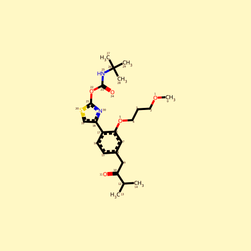 COCCCOc1cc(CC(=O)C(C)C)ccc1-c1csc(OC(=O)NC(C)(C)C)n1